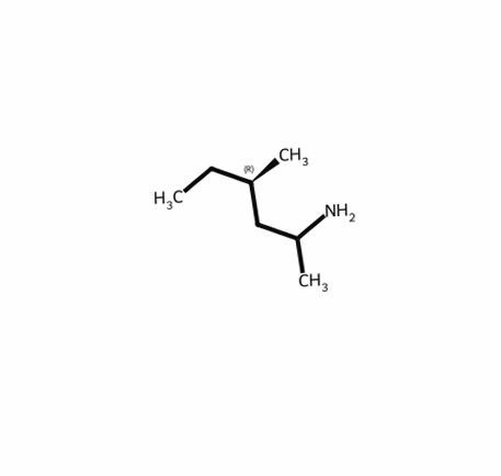 CC[C@@H](C)CC(C)N